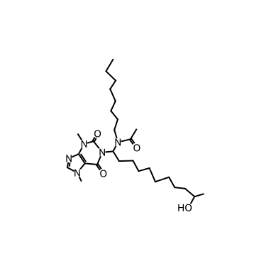 CCCCCCCCN(C(C)=O)C(CCCCCCCCC(C)O)n1c(=O)c2c(ncn2C)n(C)c1=O